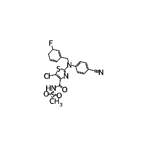 CS(=O)(=O)NC(=O)c1nc(N(CC2=CC(F)CC=C2)c2ccc(C#N)cc2)sc1Cl